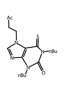 CCCCn1c(=S)c2c(ncn2CCC(C)=O)n(CCCC)c1=O